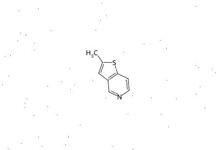 Cc1cc2cnccc2s1